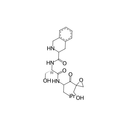 CC(C)CC(NC(=O)[C@H](CO)NC(=O)C1Cc2ccccc2CN1)C(=O)C1(CO)CO1